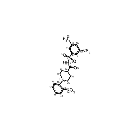 O=C(NS(=O)(=O)c1cc(C(F)(F)F)cc(C(F)(F)F)c1)C1CCN(c2ccccc2[N+](=O)[O-])CC1